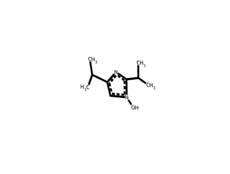 CC(C)c1cn(O)c(C(C)C)n1